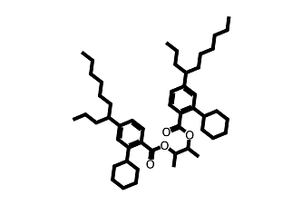 CCCCCCC(CCC)c1ccc(C(=O)OC(C)C(C)OC(=O)c2ccc(C(CCC)CCCCCC)cc2C2CCCCC2)c(C2CCCCC2)c1